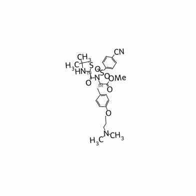 COC(=O)[C@H](Cc1ccc(OCCCN(C)C)cc1)N(C(=O)[C@H]1NC(C)(C)CS1)S(=O)(=O)c1ccc(C#N)cc1